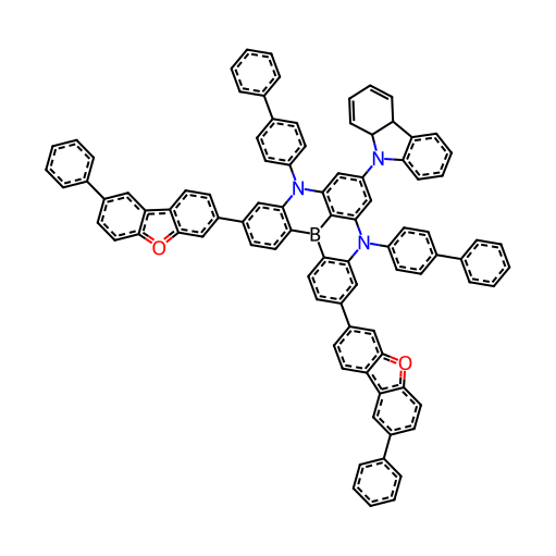 C1=CC2c3ccccc3N(c3cc4c5c(c3)N(c3ccc(-c6ccccc6)cc3)c3cc(-c6ccc7c(c6)oc6ccc(-c8ccccc8)cc67)ccc3B5c3ccc(-c5ccc6c(c5)oc5ccc(-c7ccccc7)cc56)cc3N4c3ccc(-c4ccccc4)cc3)C2C=C1